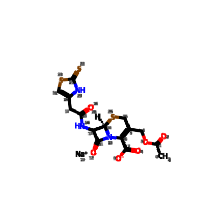 CC(=O)OCC1=C(C(=O)[O-])N2C(=O)C(NC(=O)Cc3csc(=S)[nH]3)[C@H]2SC1.[Na+]